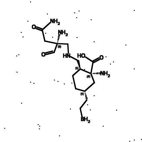 BCC[C@@H]1CC[C@@H](CNC[C@@](N)(C=O)CC(N)=O)[C@@](N)(C(=O)O)C1